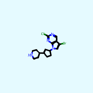 Clc1ncc2c(Br)cn(C3CCC(C4CCNCC4)C3)c2n1